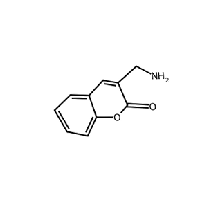 NCc1cc2ccccc2oc1=O